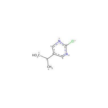 CC(C(=O)O)c1cnc(Cl)nc1